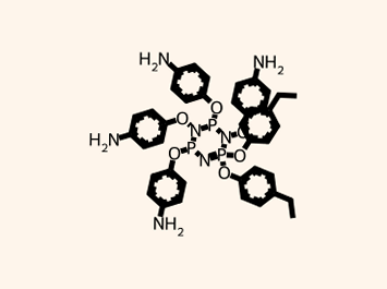 CCc1ccc(OP2(Oc3ccc(CC)cc3)=NP(Oc3ccc(N)cc3)N(Oc3ccc(N)cc3)P(Oc3ccc(N)cc3)N2Oc2ccc(N)cc2)cc1